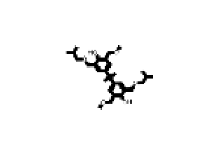 COCc1cc(C(C)(C)c2cc(COC)c(O)c(COCC(C)C)c2)cc(COCC(C)C)c1O